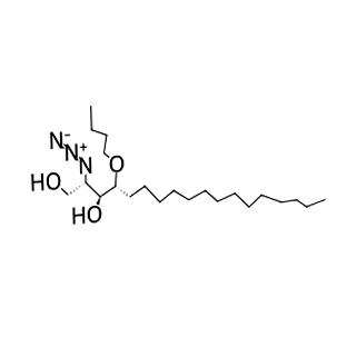 CCCCCCCCCCCCCC[C@@H](OCCCC)[C@@H](O)[C@H](CO)N=[N+]=[N-]